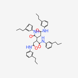 CCCc1cccc(NC(=O)CC(C(=O)Nc2cccc(CCC)c2)C(CC(=O)Nc2cccc(CCC)c2)C(=O)Nc2cccc(CCC)c2)c1